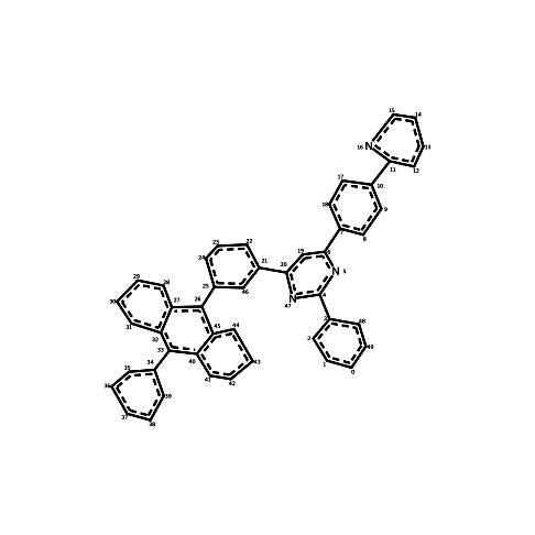 c1ccc(-c2nc(-c3ccc(-c4ccccn4)cc3)cc(-c3cccc(-c4c5ccccc5c(-c5ccccc5)c5ccccc45)c3)n2)cc1